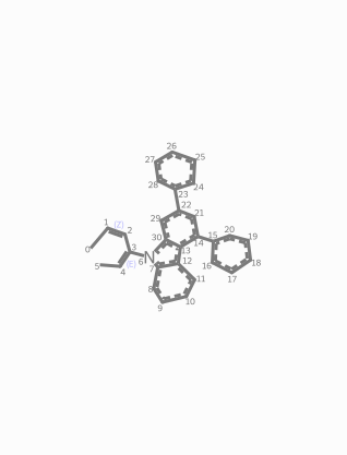 C/C=C\C(=C/C)n1c2ccccc2c2c(-c3ccccc3)cc(-c3ccccc3)cc21